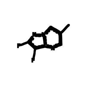 Cc1cnc2c(F)c(F)nn2c1